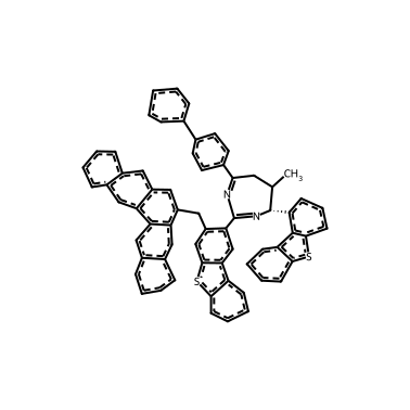 CC1CC(c2ccc(-c3ccccc3)cc2)=NC(c2cc3c(cc2Cc2cc4cc5ccccc5cc4c4cc5ccccc5cc24)sc2ccccc23)=N[C@H]1c1cccc2sc3ccccc3c12